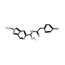 CC(C)c1ccc(CC(=O)NC(C)c2cc3cn(C)nc3cn2)cc1